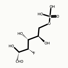 O=C[C@H](O)[C@@H](F)[C@H](O)[C@H](O)COP(=O)(O)O